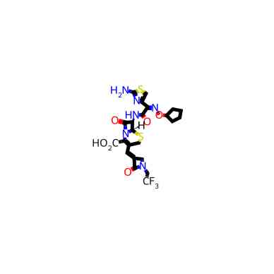 Nc1nc(/C(=N/OC2CCCC2)C(=O)N[C@@H]2C(=O)N3C(C(=O)O)=C(/C=C4\CN(CC(F)(F)F)C4=O)CS[C@H]23)cs1